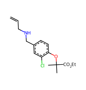 C=CCNCc1ccc(OC(C)(C)C(=O)OCC)c(Cl)c1